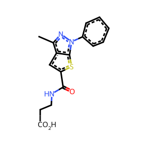 Cc1nn(-c2ccccc2)c2sc(C(=O)NCCC(=O)O)cc12